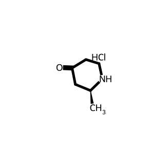 C[C@H]1CC(=O)CCN1.Cl